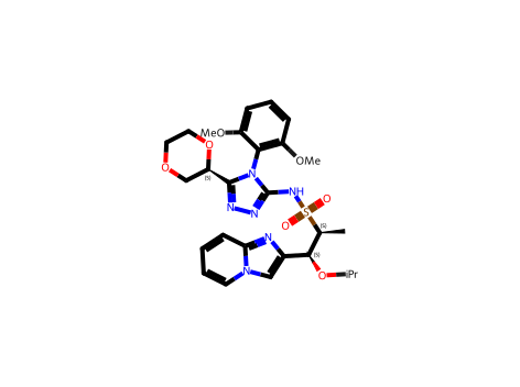 COc1cccc(OC)c1-n1c(NS(=O)(=O)[C@@H](C)[C@@H](OC(C)C)c2cn3ccccc3n2)nnc1[C@H]1COCCO1